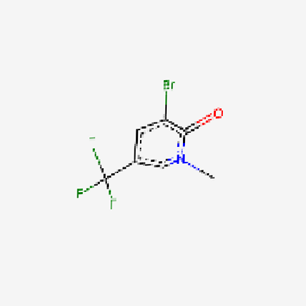 Cn1cc(C(F)(F)F)cc(Br)c1=O